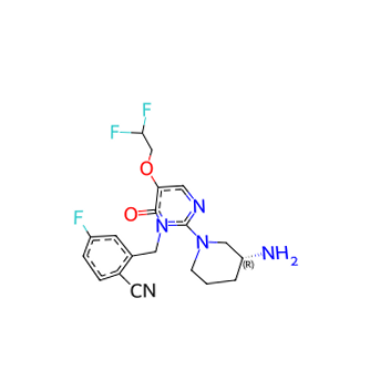 N#Cc1ccc(F)cc1Cn1c(N2CCC[C@@H](N)C2)ncc(OCC(F)F)c1=O